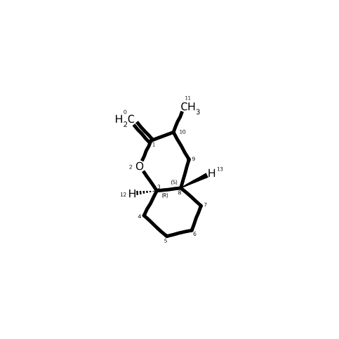 C=C1O[C@@H]2CCCC[C@H]2CC1C